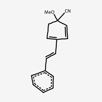 COC1(C#N)C=CC(C=Cc2ccccc2)=CC1